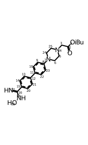 CC(C)COC(=O)CN1CCN(c2ccc(-c3ccc(C(=N)NO)cc3)cc2)CC1